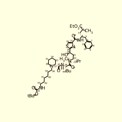 CCOC(=O)[C@@H](C)C[C@H](Cc1ccccc1)NC(=O)c1csc([C@H](O)C[C@H](C(C)C)N(C)C(=O)[C@@H](NC(=O)[C@H]2CCCCN2CCCCCCNC(=O)OC(C)(C)C)[C@@H](C)CC)n1